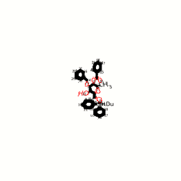 C[C@@H]1OC(CO[Si](c2ccccc2)(c2ccccc2)C(C)(C)C)[C@@H](O)[C@@H](OCc2ccccc2)C1OC(=O)c1ccccc1